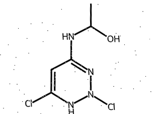 CC(O)NC1=NN(Cl)NC(Cl)=C1